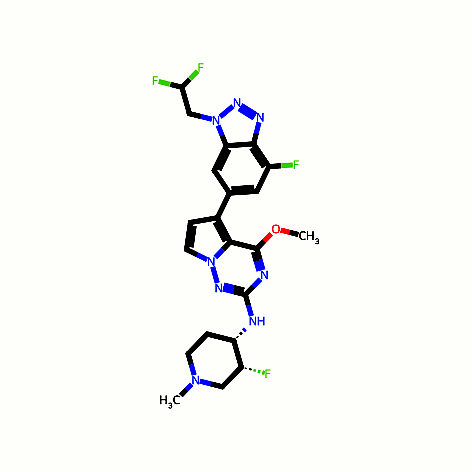 COc1nc(N[C@H]2CCN(C)C[C@H]2F)nn2ccc(-c3cc(F)c4nnn(CC(F)F)c4c3)c12